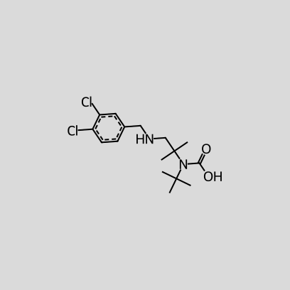 CC(C)(C)N(C(=O)O)C(C)(C)CNCc1ccc(Cl)c(Cl)c1